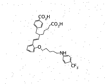 O=C(O)CCCCC(/C=C/c1ccccc1OCCCCCNc1ccc(C(F)(F)F)cc1)Cc1ccc(C(=O)O)cc1